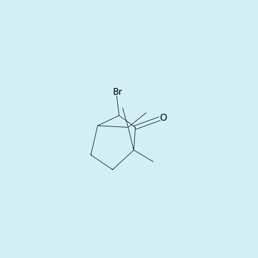 CC12CCC(C(Br)C1=O)C2(C)C